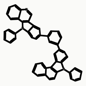 c1ccc(-n2c3ccc(-c4cccc(-c5ccc6c(c5)c5cnc7ccccc7c5n6-c5ccccc5)c4)cc3c3c4ccccc4ccc32)cc1